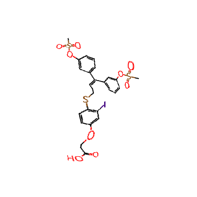 CS(=O)(=O)Oc1cccc(C(=CCSc2ccc(OCC(=O)O)cc2I)c2cccc(OS(C)(=O)=O)c2)c1